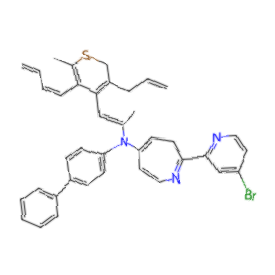 C=C/C=C\C1=C(C)SCC(CC=C)=C1/C=C(\C)N(C1=CCC(c2cc(Br)ccn2)=NC=C1)c1ccc(-c2ccccc2)cc1